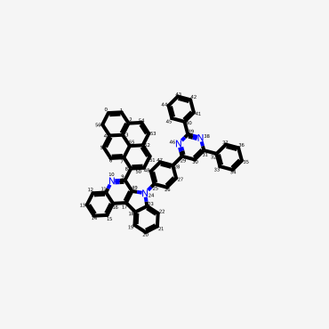 C1=CC2=C3C(=CC=C4C(c5nc6ccccc6c6c7ccccc7n(-c7ccc(-c8cc(-c9ccccc9)nc(-c9ccccc9)n8)cc7)c56)=CC=C(C=C2)C43)C1